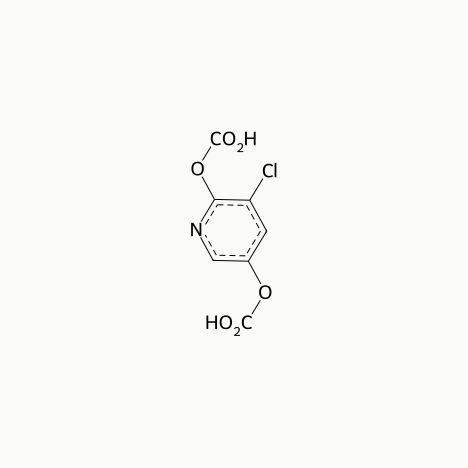 O=C(O)Oc1cnc(OC(=O)O)c(Cl)c1